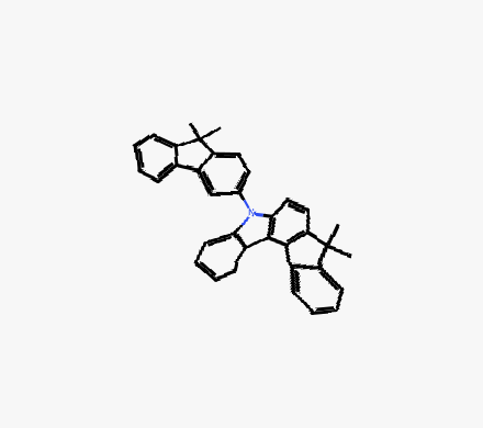 CC1(C)c2ccccc2-c2cc(N3C4=CC=CCC4c4c3ccc3c4-c4ccccc4C3(C)C)ccc21